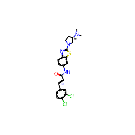 CN(C)[C@@H]1CCN(c2nc3ccc(NC(=O)/C=C/c4ccc(Cl)c(Cl)c4)cc3s2)C1